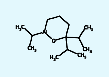 C[CH](C)[Al]1[CH2]CCC(C(C)C)(C(C)C)[O]1